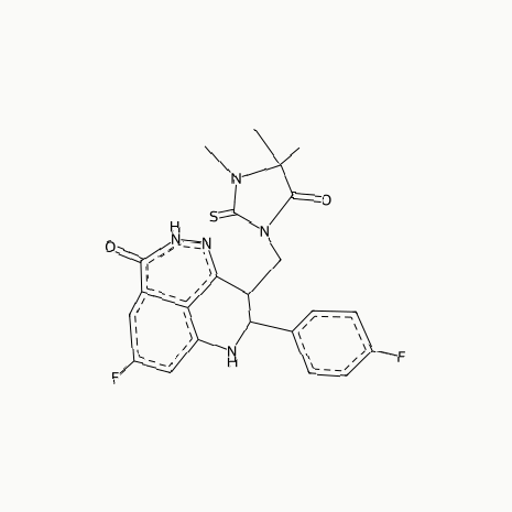 CN1C(=S)N(CC2c3n[nH]c(=O)c4cc(F)cc(c34)NC2c2ccc(F)cc2)C(=O)C1(C)C